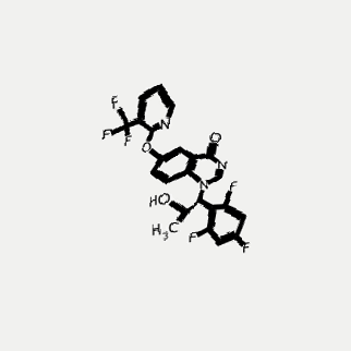 CC(O)[C@H](c1c(F)cc(F)cc1F)n1cnc(=O)c2cc(Oc3ncccc3C(F)(F)F)ccc21